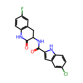 O=C(NC1Cc2cc(F)ccc2NC1=O)c1cc2cc(Cl)ccc2[nH]1